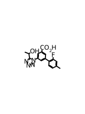 Cc1ccc(-c2cc(C(=O)O)cc(-n3nnnc3C(C)O)c2)c(F)c1